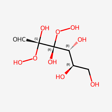 O=C[C@](O)(OO)[C@](O)(OO)[C@H](O)[C@H](O)CO